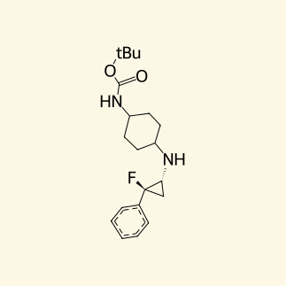 CC(C)(C)OC(=O)NC1CCC(N[C@@H]2C[C@]2(F)c2ccccc2)CC1